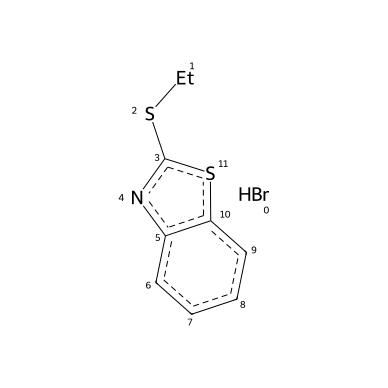 Br.CCSc1nc2ccccc2s1